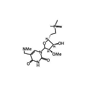 C=P(C)(C)CC[C@H]1OC(n2cc(CNC)c(=O)[nH]c2=O)[C@H](OC)[C@@H]1O